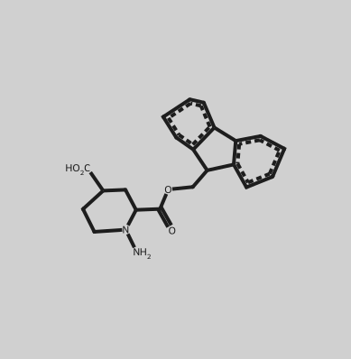 NN1CCC(C(=O)O)CC1C(=O)OCC1c2ccccc2-c2ccccc21